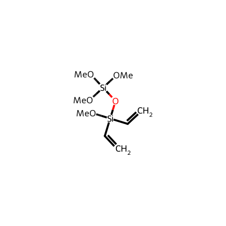 C=C[Si](C=C)(OC)O[Si](OC)(OC)OC